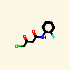 O=C(CCl)CC(=O)Nc1ccccc1F